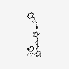 Cn1nnnc1/C(=N/OCc1csc(C#CCOCc2ccccc2)n1)c1ccccc1